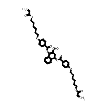 C=CC(=O)OCCCCCCOc1ccc(C(=O)Oc2cc(C=O)c(OC(=O)c3ccc(OCCCCCCOC(=O)C=C)cc3)c3ccccc23)cc1